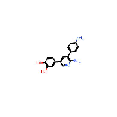 Nc1ccc(-c2cc(-c3ccc(O)c(O)c3)cnc2N)cc1